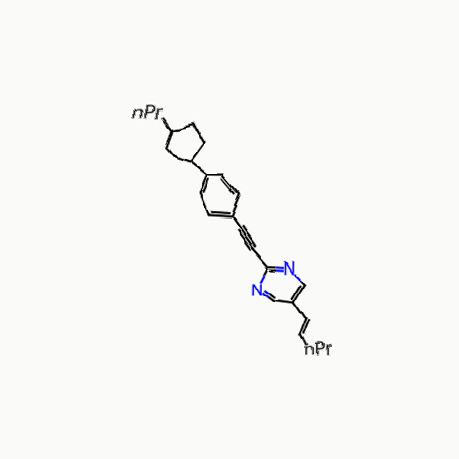 CCC/C=C/c1cnc(C#Cc2ccc(C3CCC(CCC)CC3)cc2)nc1